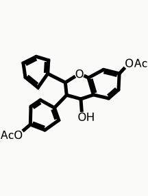 CC(=O)Oc1ccc(C2C(O)c3ccc(OC(C)=O)cc3OC2c2ccccc2)cc1